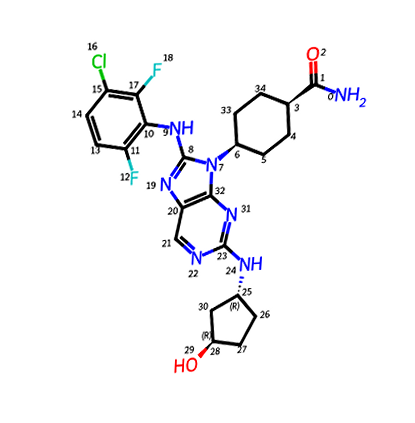 NC(=O)[C@H]1CC[C@@H](n2c(Nc3c(F)ccc(Cl)c3F)nc3cnc(N[C@@H]4CC[C@@H](O)C4)nc32)CC1